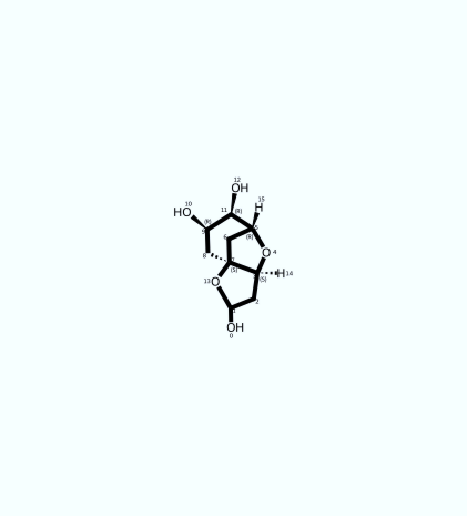 OC1C[C@@H]2O[C@@H]3C[C@]2(C[C@@H](O)[C@H]3O)O1